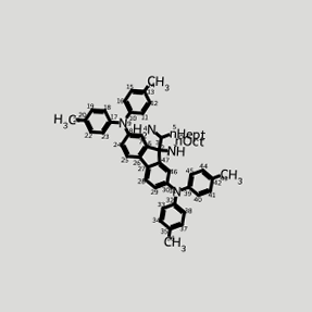 CCCCCCCCNC1(C(N)CCCCCCC)c2cc(N(c3ccc(C)cc3)c3ccc(C)cc3)ccc2-c2ccc(N(c3ccc(C)cc3)c3ccc(C)cc3)cc21